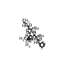 C=CCNC(=O)C(=O)[C@H](CCCC)NC(=O)[C@@H]1[C@@H]2[C@H](CN1C(=O)[C@@H](NC(=O)NC1CCCCC1)C(C)(C)C)C2(C)C